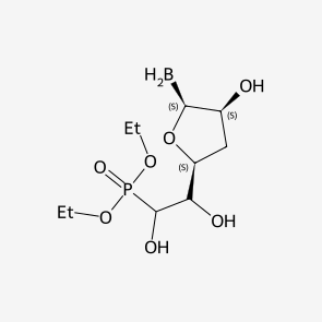 B[C@@H]1O[C@H](C(O)C(O)P(=O)(OCC)OCC)C[C@@H]1O